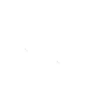 N#Cc1ccccc1C=Cc1ccc(-c2nc3ccccc3o2)cc1